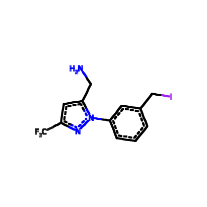 NCc1cc(C(F)(F)F)nn1-c1cccc(CI)c1